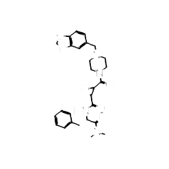 CN(C)C(=O)[C@H](Cc1ccccc1)NC(=O)C1OC1C(=O)N1CCN(Cc2ccc3c(c2)OCO3)CC1